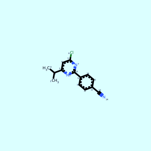 CC(C)c1cc(Cl)nc(-c2ccc(C#N)cc2)n1